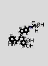 O=C(/C=C/c1ccc2c(c1)CCC2N(CCc1c[nH]c2ccccc12)Cc1cccc(O)c1O)NO